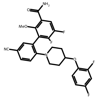 COc1c(C(N)=O)cc(F)c(F)c1-c1cc(C#N)ccc1N1CCC(Oc2ccc(F)cc2F)CC1